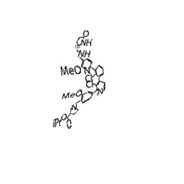 COc1cc(-c2nccc(-c3cccc(-c4ccc(CNC[C@@H]5CCC(=O)N5)c(OC)n4)c3Cl)c2Cl)ccc1CN1CCC(C(=O)OC(C)C)C1